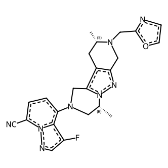 C[C@@H]1CN(c2ccc(C#N)n3ncc(F)c23)Cc2c3c(nn21)CN(Cc1ncco1)[C@@H](C)C3